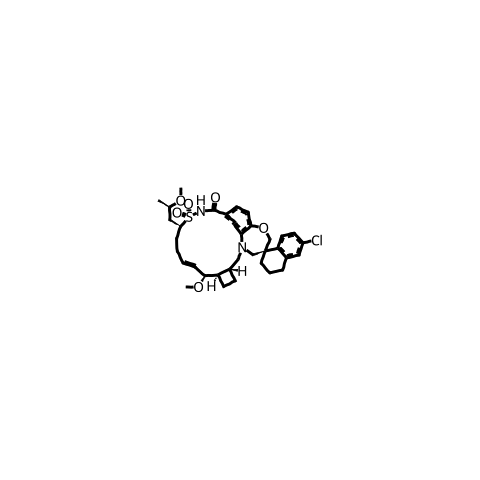 CO[C@H](C)C[C@@H]1CC/C=C/[C@H](OC)[C@@H]2CC[C@H]2CN2C[C@@]3(CCCc4cc(Cl)ccc43)COc3ccc(cc32)C(=O)NS1(=O)=O